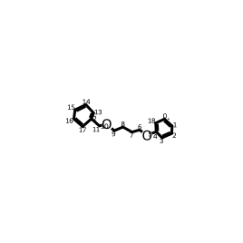 [c]1cccc(OCCCCOCc2ccccc2)c1